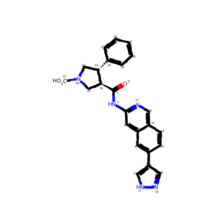 O=C(Nc1cc2cc(-c3cn[nH]c3)ccc2cn1)[C@H]1CN(C(=O)O)C[C@@H]1c1ccccc1